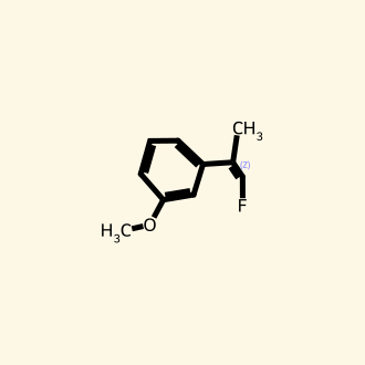 COc1cccc(/C(C)=C\F)c1